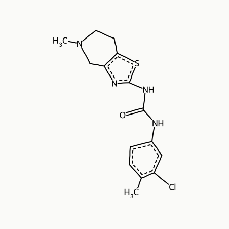 Cc1ccc(NC(=O)Nc2nc3c(s2)CCN(C)C3)cc1Cl